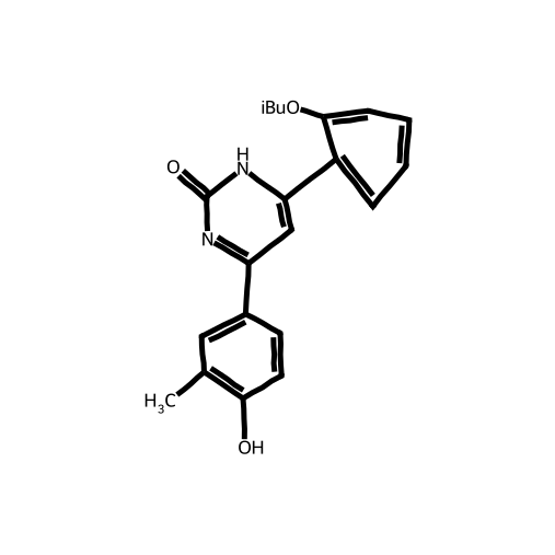 Cc1cc(-c2cc(-c3ccccc3OCC(C)C)[nH]c(=O)n2)ccc1O